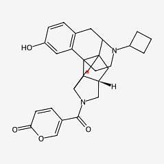 O=C(c1ccc(=O)oc1)N1C[C@H]2CC34CCC1C2C31CCN(C2CCC2)C4Cc2ccc(O)cc21